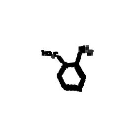 NC1=CN=CCN1C(=O)O